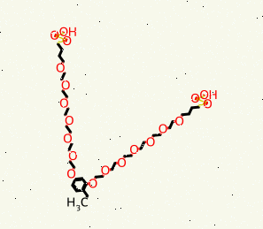 CCc1ccc(OCCOCCOCCOCCOCCOCCOCCCCS(=O)(=O)O)cc1OCCOCCOCCOCCOCCOCCOCCCCS(=O)(=O)O